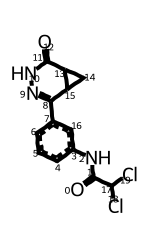 O=C(Nc1cccc(C2=NNC(=O)C3CC23)c1)C(Cl)Cl